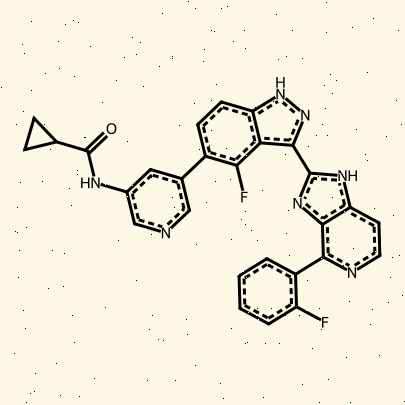 O=C(Nc1cncc(-c2ccc3[nH]nc(-c4nc5c(-c6ccccc6F)nccc5[nH]4)c3c2F)c1)C1CC1